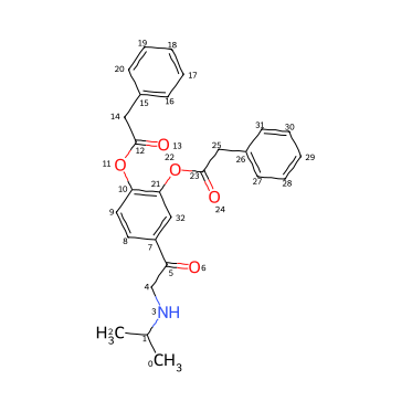 CC(C)NCC(=O)c1ccc(OC(=O)Cc2ccccc2)c(OC(=O)Cc2ccccc2)c1